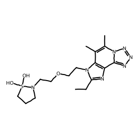 CCc1nc2c(c(C)c(C)n3nnnc23)n1CCOCCN1CCCS1(O)O